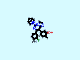 Cc1ccc(-c2c(-c3ccc(C#N)c(F)c3)nc(N3CC4CC(C3)C4N)n3ccnc23)cc1O